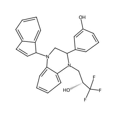 Oc1cccc(C2CN(C3C=Cc4ccccc43)c3ccccc3N2C[C@@H](O)C(F)(F)F)c1